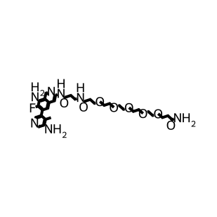 Cc1c(N)cncc1-c1cc2cc(NC(=O)CCNC(=O)CCOCCOCCOCCOCCOCCC(N)=O)ncc2c(N)c1F